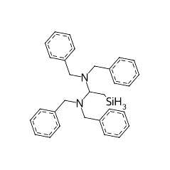 [SiH3]CC(N(Cc1ccccc1)Cc1ccccc1)N(Cc1ccccc1)Cc1ccccc1